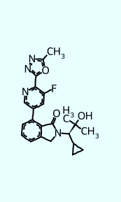 Cc1nnc(-c2ncc(-c3cccc4c3C(=O)N([C@H](C3CC3)C(C)(C)O)C4)cc2F)o1